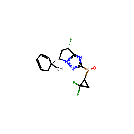 CC1([C@@H]2C[C@H](F)c3nc([S+]([O-])C4CC4(F)F)nn32)C=CC=CC1